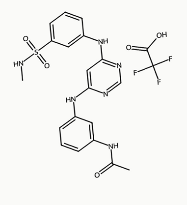 CNS(=O)(=O)c1cccc(Nc2cc(Nc3cccc(NC(C)=O)c3)ncn2)c1.O=C(O)C(F)(F)F